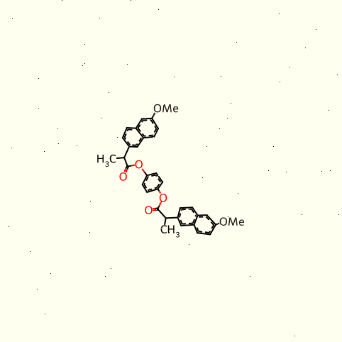 COc1ccc2cc(C(C)C(=O)Oc3ccc(OC(=O)C(C)c4ccc5cc(OC)ccc5c4)cc3)ccc2c1